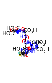 CC(C)(C)S(F)(c1ccc(C(=O)NC[C@@H](NC(=O)CN2CCN(CC(=O)O)CCN(CC(=O)O)CCN(CC(=O)O)CC2)C(=O)N[C@H](CCCCNC(=O)CCC(=O)NCCC[C@@H](NC(=O)CC[C@H](NC(=O)N[C@@H](Cc2ccco2)C(=O)O)C(=O)O)C(=O)O)C(=O)O)cc1)C(C)(C)C